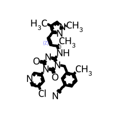 Cc1ccc(C#N)cc1Cn1c(N[C@H](C)/C=C\c2nn(C)cc2C)nc(=O)n(-c2cncc(Cl)c2)c1=O